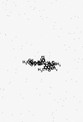 Cc1cc(C(C)Nc2ccc(Cl)nc2-c2nnn(C3CN(C(=O)OC(C)(C)C)C3)n2)c2c(c1)c(=O)n(C)c1c(C(=O)N(C)C)ncn21